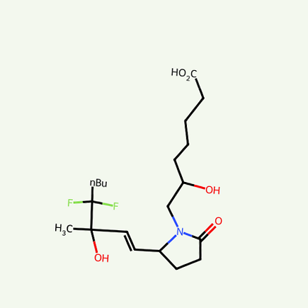 CCCCC(F)(F)C(C)(O)/C=C/C1CCC(=O)N1CC(O)CCCCC(=O)O